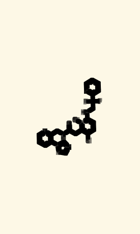 O=C(Cc1c(Cl)ccc(NCC(F)(F)c2ccccn2)[n+]1[O-])NCc1ncccc1-n1cncn1